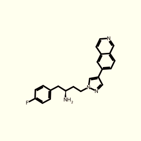 N[C@H](CCn1cc(-c2ccc3cnccc3c2)cn1)Cc1ccc(F)cc1